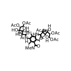 CNC(=O)c1c(I)c(NC(=O)[C@@](O)(C(C)=O)[C@](O)(C(C)=O)[C@@](O)(C(C)=O)[C@@H](COC(C)=O)OC(C)=O)c(I)c(NC(=O)[C@@](O)(C(C)=O)[C@](O)(C(C)=O)[C@@](O)(C(C)=O)[C@@H](COC(C)=O)OC(C)=O)c1I